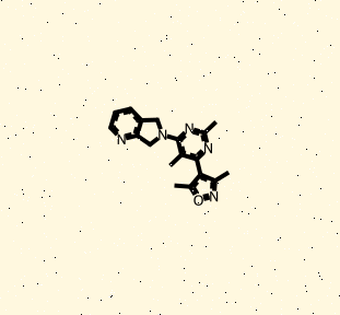 Cc1nc(-c2c(C)noc2C)c(C)c(N2Cc3cccnc3C2)n1